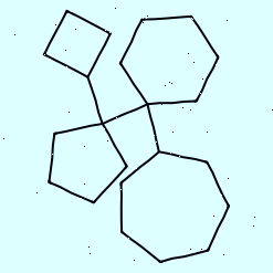 C1CCCC(C2(C3(C4CCC4)CCCC3)CCCCC2)CC1